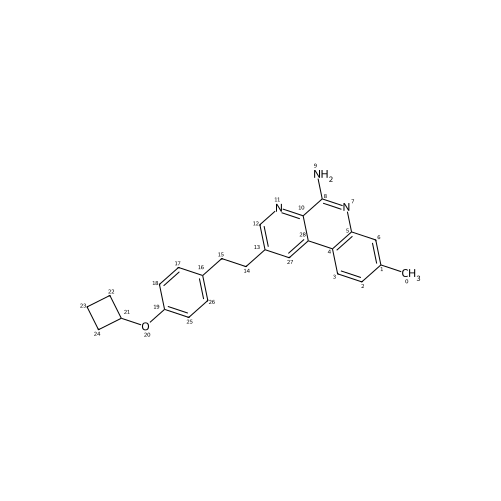 Cc1ccc2c(c1)nc(N)c1ncc(CCc3ccc(OC4CCC4)cc3)cc12